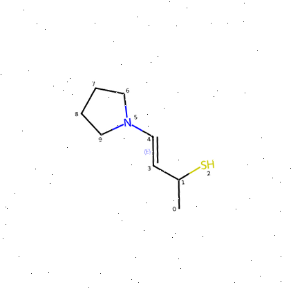 CC(S)/C=C/N1CCCC1